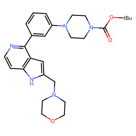 CC(C)(C)OC(=O)N1CCN(c2cccc(-c3nccc4[nH]c(CN5CCOCC5)cc34)c2)CC1